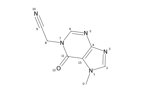 Cn1cnc2ncn(CC#N)c(=O)c21